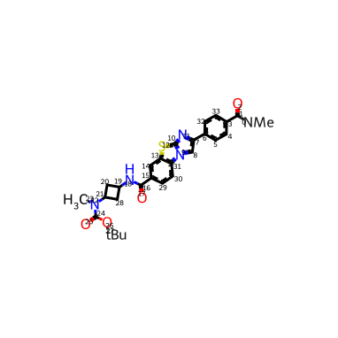 CNC(=O)c1ccc(-c2cn3c(n2)sc2cc(C(=O)NC4CC(N(C)C(=O)OC(C)(C)C)C4)ccc23)cc1